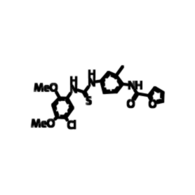 COc1cc(OC)c(NC(=S)Nc2ccc(NC(=O)c3ccco3)c(C)c2)cc1Cl